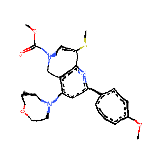 COC(=O)N1C=C(SC)c2nc(-c3ccc(OC)cc3)cc(N3CCOCC3)c2C1